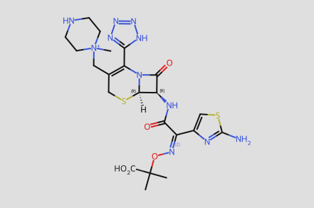 CC(C)(O/N=C(\C(=O)N[C@@H]1C(=O)N2C(c3nnn[nH]3)=C(C[N+]3(C)CCNCC3)CS[C@H]12)c1csc(N)n1)C(=O)O